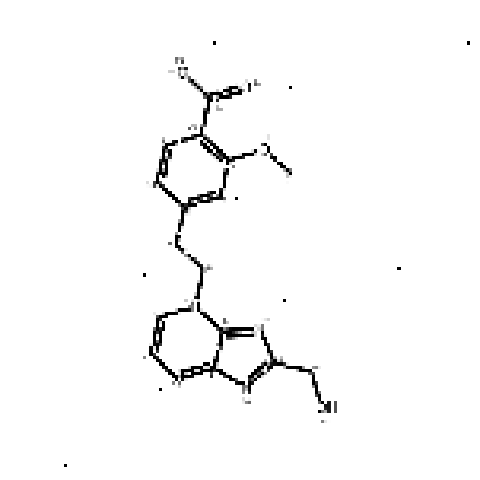 COc1cc(CCn2cccc3nc(CO)nc2-3)ccc1C(=O)O